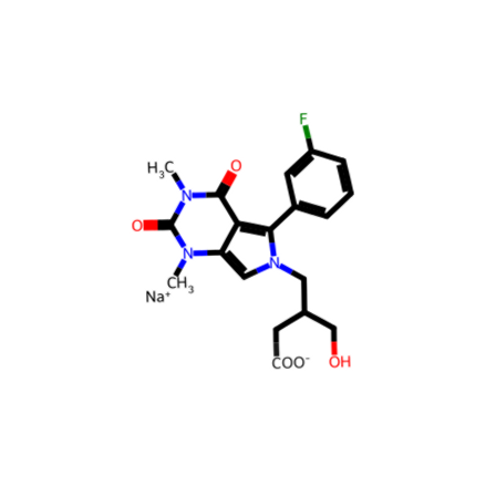 Cn1c(=O)c2c(-c3cccc(F)c3)n(CC(CO)CC(=O)[O-])cc2n(C)c1=O.[Na+]